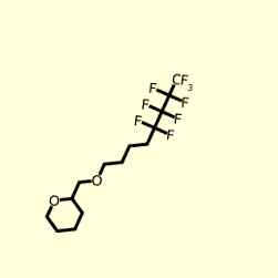 FC(F)(F)C(F)(F)C(F)(F)C(F)(F)CCCCOCC1CCCCO1